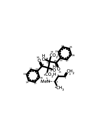 C=CC[C@H](C)NC.O=C(O)C(O)(C(=O)c1ccccc1)C(O)(C(=O)O)C(=O)c1ccccc1